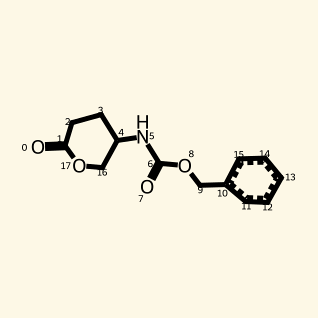 O=C1CCC(NC(=O)OCc2ccccc2)CO1